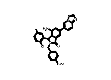 COc1ccc(CN2C(=O)c3cc(-c4ccc5ncnn5c4)cc(N)c3C2c2cc(F)ccc2Cl)cc1